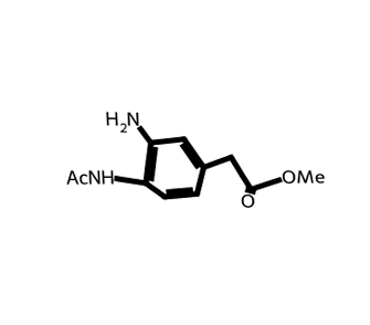 COC(=O)Cc1ccc(NC(C)=O)c(N)c1